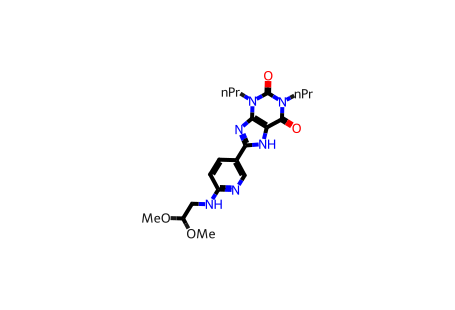 CCCn1c(=O)c2[nH]c(-c3ccc(NCC(OC)OC)nc3)nc2n(CCC)c1=O